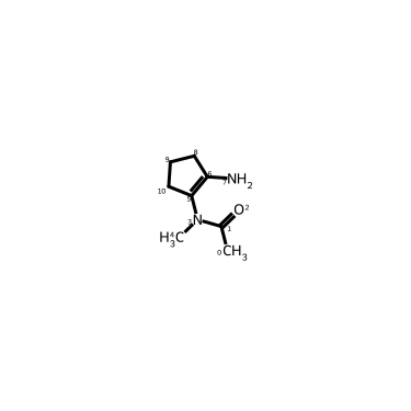 CC(=O)N(C)C1=C(N)CCC1